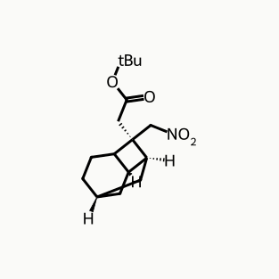 CC(C)(C)OC(=O)C[C@@]1(C[N+](=O)[O-])C2CC[C@H]3C[C@@H]2[C@@H]1C3